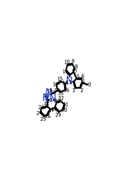 Cc1ccc2c(c1)c1ccccc1n2-c1ccc(-c2nnc3c4ccccc4c4ccccc4n23)cc1